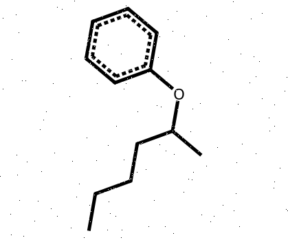 CCCCC(C)Oc1ccccc1